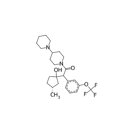 C[C@@H]1CCC(O)(C(C(=O)N2CCC(N3CCCCC3)CC2)c2cccc(OC(F)(F)F)c2)C1